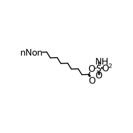 CCCCCCCCCCCCCCCCCC(=O)OS(N)(=O)=O